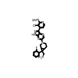 CNc1nccc(-c2n[nH]c3nc(N4CCC5C(C4)C5(CN)c4ccccc4F)cnc23)c1Cl